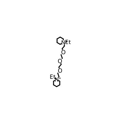 CC[N+]1(CCOCCOCCOCC[N+]2(CC)CCCCC2)CCCCC1